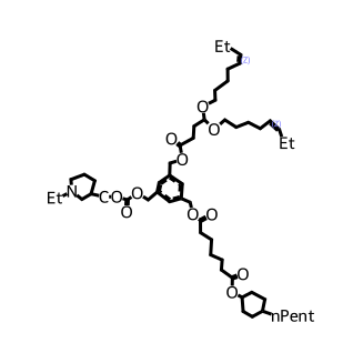 CC/C=C\CCCCOC(CCC(=O)OCc1cc(COC(=O)CCCCCC(=O)OC2CCC(CCCCC)CC2)cc(COC(=O)OCC2CCCN(CC)C2)c1)OCCCC/C=C\CC